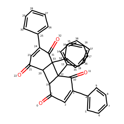 O=C1C=C(c2ccccc2)C(=O)C2(c3ccccc3)C1C1C(=O)C=C(c3ccccc3)C(=O)C12c1ccccc1